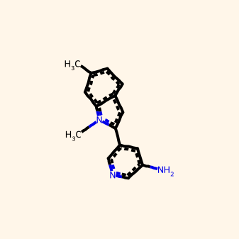 Cc1ccc2cc(-c3cncc(N)c3)n(C)c2c1